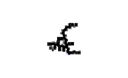 CCCCC/C=C\C[C@@H](C(=O)CNC(=O)C(N)CS)[C@@H](O)/C=C/[C@H](O)C/C=C\CCCC(=O)O